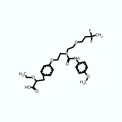 CCOC(Cc1ccc(OCCN(CCOCCC(C)(F)F)C(=O)Nc2ccc(OC)cc2)cc1)C(=O)O